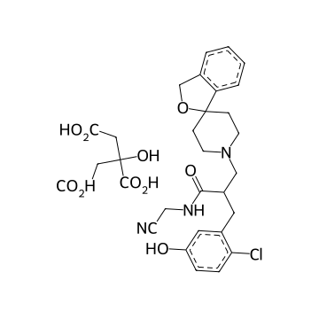 N#CCNC(=O)C(Cc1cc(O)ccc1Cl)CN1CCC2(CC1)OCc1ccccc12.O=C(O)CC(O)(CC(=O)O)C(=O)O